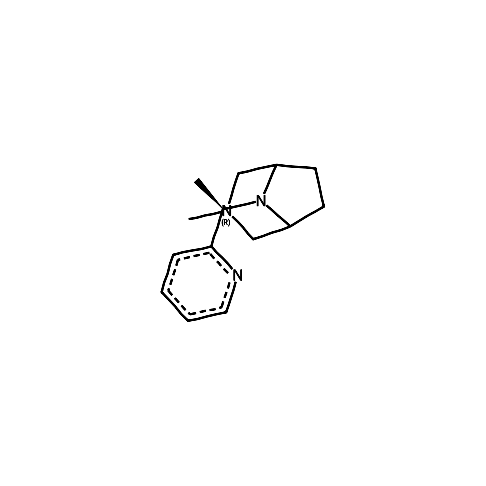 C[C@H](c1ccccn1)N1C2CCC1CN(C)C2